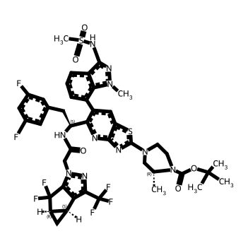 C[C@@H]1CN(c2nc3nc([C@H](Cc4cc(F)cc(F)c4)NC(=O)Cn4nc(C(F)(F)F)c5c4C(F)(F)[C@@H]4C[C@H]54)c(-c4cccc5c(NS(C)(=O)=O)nn(C)c45)cc3s2)CCN1C(=O)OC(C)(C)C